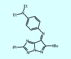 CCN(CC)c1ccc(/N=C2/C(C(C)(C)C)=Nn3nc(C(C)C)nc32)cc1